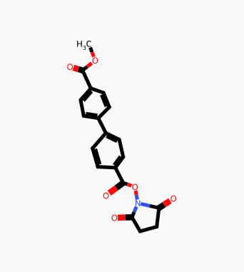 COC(=O)c1ccc(-c2ccc(C(=O)ON3C(=O)CCC3=O)cc2)cc1